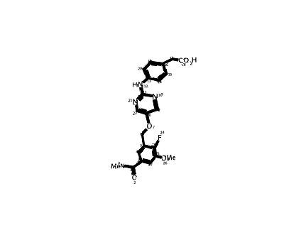 CNC(=O)c1cc(COc2cnc(Nc3ccc(CC(=O)O)cc3)nc2)c(F)c(OC)c1